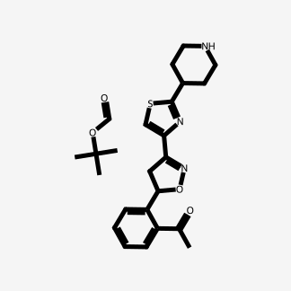 CC(=O)c1ccccc1C1CC(c2csc(C3CCNCC3)n2)=NO1.CC(C)(C)OC=O